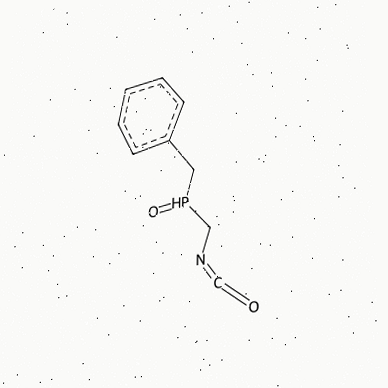 O=C=NC[PH](=O)Cc1ccccc1